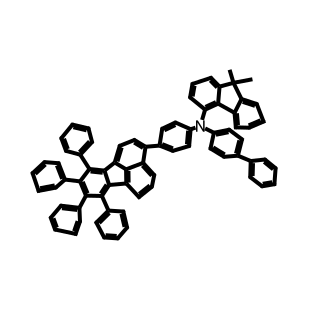 CC1(C)c2ccccc2-c2c(N(c3ccc(-c4ccccc4)cc3)c3ccc(-c4ccc5c6c(cccc46)-c4c(-c6ccccc6)c(-c6ccccc6)c(-c6ccccc6)c(-c6ccccc6)c4-5)cc3)cccc21